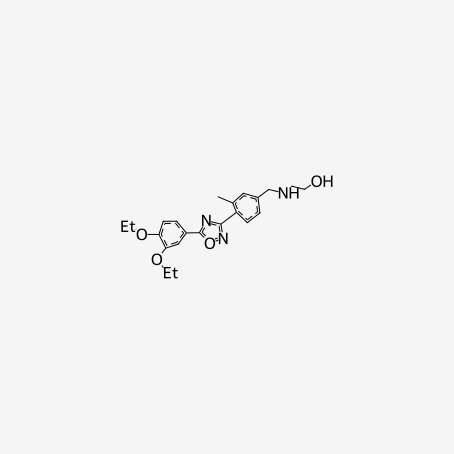 CCOc1ccc(-c2nc(-c3ccc(CNCCO)cc3C)no2)cc1OCC